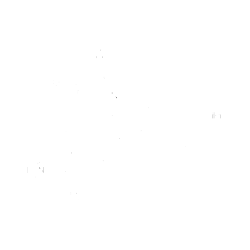 CC(C)c1cccc(CN2C(=O)C(=O)c3cc(C(N)=O)ccc32)c1